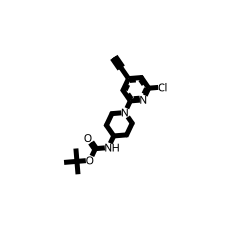 C#Cc1cc(Cl)nc(N2CCC(NC(=O)OC(C)(C)C)CC2)c1